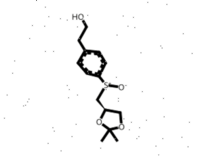 CC1(C)OC[C@H](C[S+]([O-])c2ccc(CCO)cc2)O1